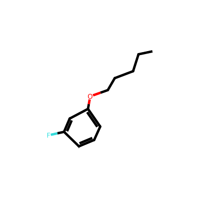 CCCCCOc1cc[c]c(F)c1